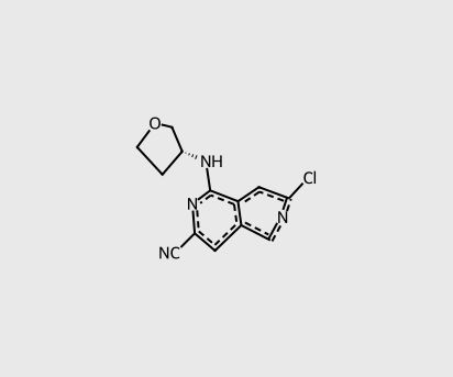 N#Cc1cc2cnc(Cl)cc2c(N[C@@H]2CCOC2)n1